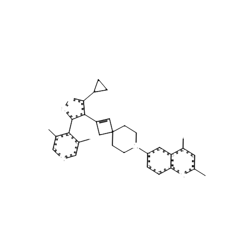 Cc1cc(C(F)(F)F)c2cc(N3CCC4(C=C(c5c(-c6c(F)cncc6F)noc5C5CC5)C4)CC3)ccc2n1